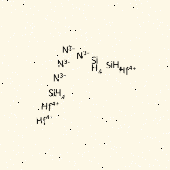 [Hf+4].[Hf+4].[Hf+4].[N-3].[N-3].[N-3].[N-3].[SiH4].[SiH4].[SiH4]